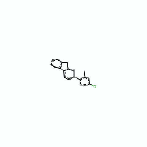 Cc1cc(Cl)ccc1-c1ccc2c(c1)Cc1ccccc1-2